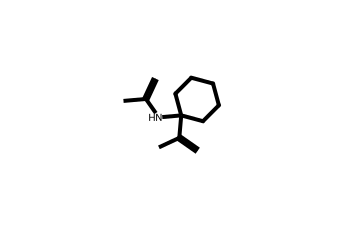 C=C(C)NC1(C(=C)C)CCCCC1